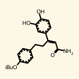 CC(C)COc1ccc(CC/C(=C\C(N)=O)c2ccc(O)c(O)c2)cc1